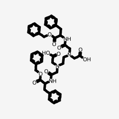 O=C(O)CN(CCN(CC(=O)O)CC(=O)NC(Cc1ccccc1)C(=O)OCc1ccccc1)CC(=O)NC(Cc1ccccc1)C(=O)OCc1ccccc1